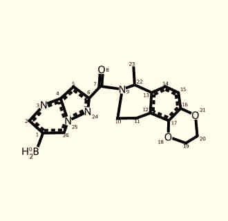 Bc1cnc2cc(C(=O)N3CCc4c(ccc5c4OCCO5)C3C)nn2c1